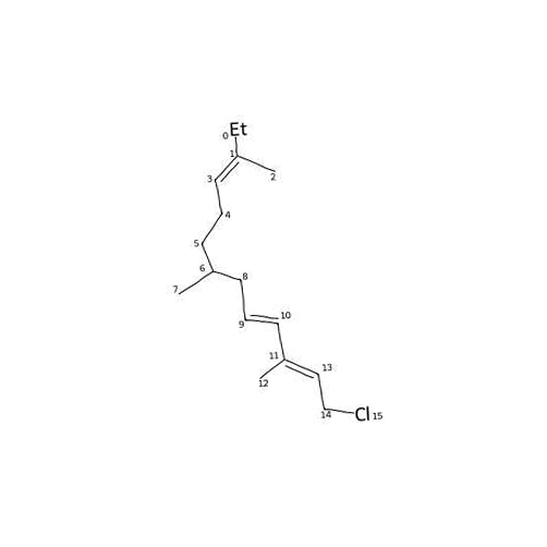 CC/C(C)=C/CCC(C)C/C=C/C(C)=C/CCl